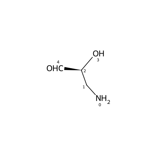 NC[C@H](O)C=O